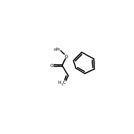 [CH2]CCOC(=O)C=C.c1ccccc1